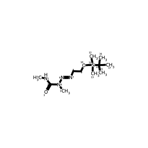 CNC(=O)N(C)N=NCCO[Si](C)(C)C(C)(C)C